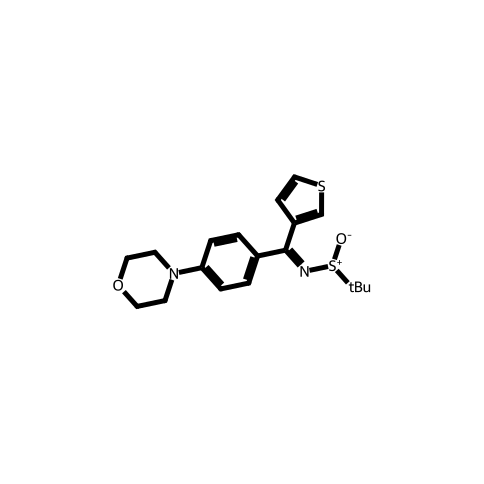 CC(C)(C)[S+]([O-])/N=C(/c1ccc(N2CCOCC2)cc1)c1ccsc1